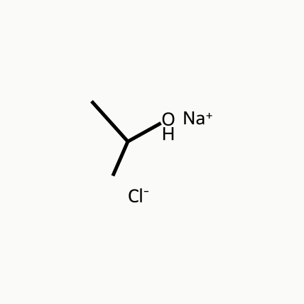 CC(C)O.[Cl-].[Na+]